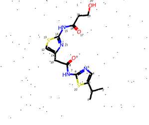 CC(C)c1cnc(NC(=O)Cc2csc(NC(=O)CCO)n2)s1